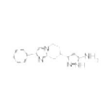 Nc1cc(C2CCn3cc(-c4ccccc4)nc3C2)n[nH]1